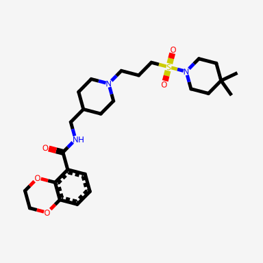 CC1(C)CCN(S(=O)(=O)CCCN2CCC(CNC(=O)c3cccc4c3OCCO4)CC2)CC1